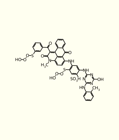 Cc1ccccc1Nc1nc(O)nc(Nc2cc(Nc3ccc4c5c3C(=O)c3ccccc3-c5c(C(=O)c3cccc(SOOO)c3)c(=O)n4C)c(SOOO)cc2S(=O)(=O)O)n1